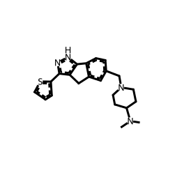 CN(C)C1CCN(Cc2ccc3c(c2)Cc2c(-c4cccs4)n[nH]c2-3)CC1